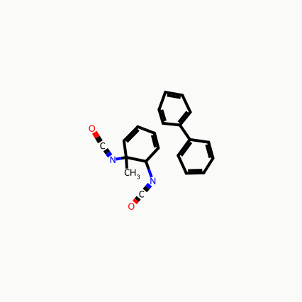 CC1(N=C=O)C=CC=CC1N=C=O.c1ccc(-c2ccccc2)cc1